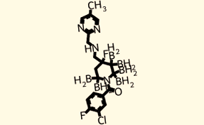 BC1(B)CC(F)(CNCc2ncc(C)cn2)C(B)(B)C(B)(B)N1C(=O)c1ccc(F)c(Cl)c1